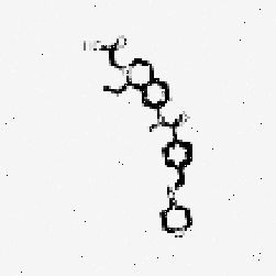 CCC1c2cc(N(C)C(=O)c3ccc(C=NN4CCOCC4)cc3)ccc2CCN1CC(=O)O